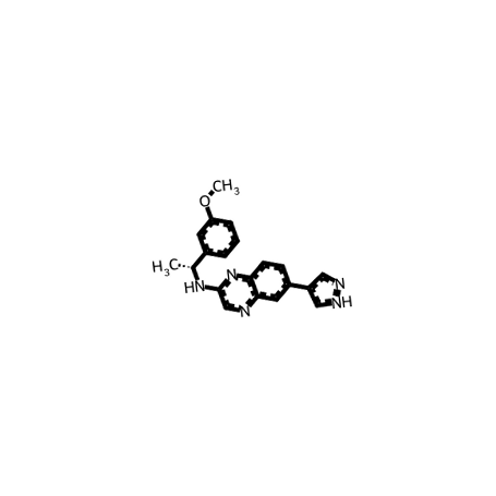 COc1cccc([C@@H](C)Nc2cnc3cc(-c4cn[nH]c4)ccc3n2)c1